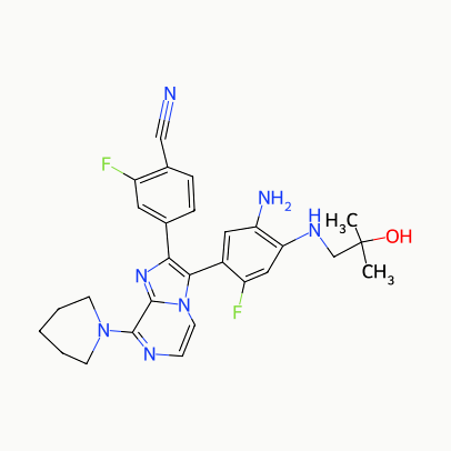 CC(C)(O)CNc1cc(F)c(-c2c(-c3ccc(C#N)c(F)c3)nc3c(N4CCCCC4)nccn23)cc1N